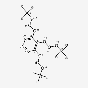 CC(C)(C)OOOc1nnnc(OOOC(C)(C)C)c1OOOC(C)(C)C